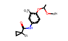 CCCOC(C)Oc1ccc(NC(=O)C2(CC)CC2)cc1[N+](=O)[O-]